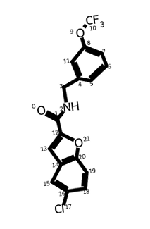 O=C(NCc1cccc(OC(F)(F)F)c1)c1cc2cc(Cl)ccc2o1